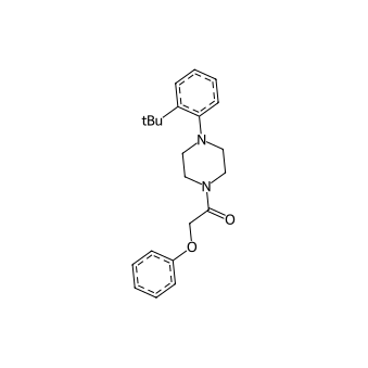 CC(C)(C)c1ccccc1N1CCN(C(=O)COc2ccccc2)CC1